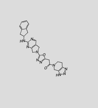 O=C(Cc1nnc(N2Cc3cnc(NC4Cc5ccccc5C4)nc3C2)o1)N1CCc2nn[nH]c2C1